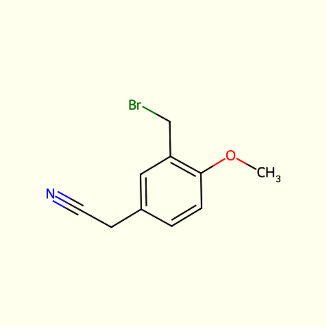 COc1ccc(CC#N)cc1CBr